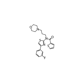 O=C(c1cccs1)N(CCCN1CCOCC1)c1nc(-c2cccc(F)c2)cs1